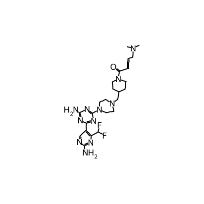 CN(C)C/C=C/C(=O)N1CCC(CN2CCN(c3nc(N)nc(-c4cnc(N)nc4C(F)F)n3)CC2)CC1